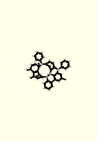 Cc1cc2c3c(c1)N(c1ccccc1)c1ccc4cc1B3N(C1=CC(C)C3=C(C1C)C(C)(C=CC3C)N4c1ccccc1)c1ccccc1-2